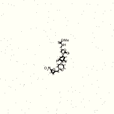 COC(=S)NC[C@H]1CN(c2cc(F)c(N3CCON(Cc4ccc([N+](=O)[O-])o4)CC3)c(F)c2)C(=O)O1